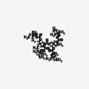 CCC(COC(=O)OCC(CC)(COC(=O)OOC(C)(C)CC)COC(=O)OOC(C)(C)CC)(COC(=O)OOC(C)(C)CC)COC(=O)OOC(C)(C)CC